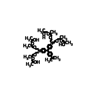 CC(O)COC(C)COCCN(CCOCC(C)OCC(C)O)c1ccc(C(c2ccc(N(C)C)cc2)c2ccc(N(CCOCC(C)OCC(C)O)CCOCC(C)OCC(C)O)cc2)cc1